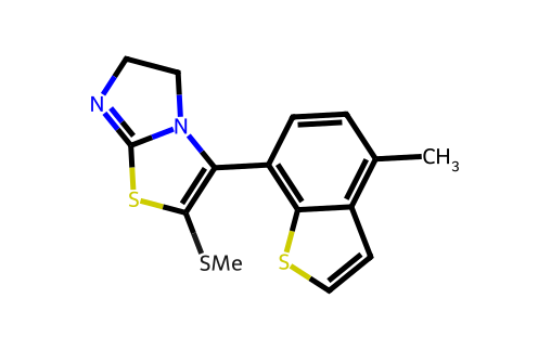 CSC1=C(c2ccc(C)c3ccsc23)N2CCN=C2S1